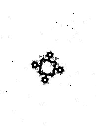 Oc1cccc(O)c1C1=C2C=CC(=N2)C(c2ccccc2)=C2C=CC(=N2)C(c2ccccc2)=C2C=CC(=N2)C(c2ccccc2)=C2C=CC1=N2